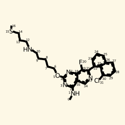 CNc1nc(OCCCCCNCCCSC)nc2c(F)c(-c3cccc4cccc(Cl)c34)ncc12